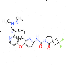 C=NN(C)/C=C(\C)c1cc(Oc2ccc(NC(=O)N3CCC4(CC(F)(F)C4)C3=O)nc2C)ccn1